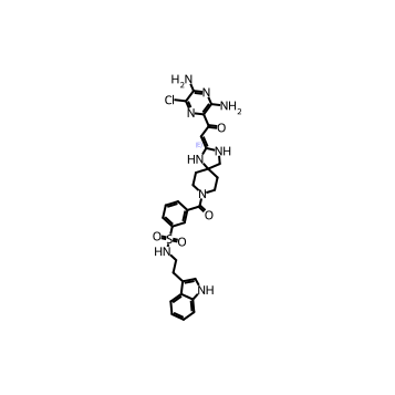 Nc1nc(N)c(C(=O)/C=C2\NCC3(CCN(C(=O)c4cccc(S(=O)(=O)NCCc5c[nH]c6ccccc56)c4)CC3)N2)nc1Cl